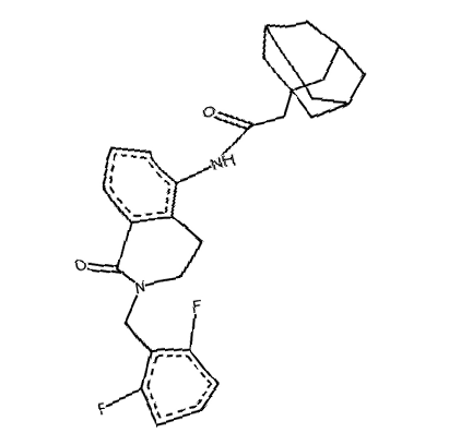 O=C(CC12CC3CC(CC(C3)C1)C2)Nc1cccc2c1CCN(Cc1c(F)cccc1F)C2=O